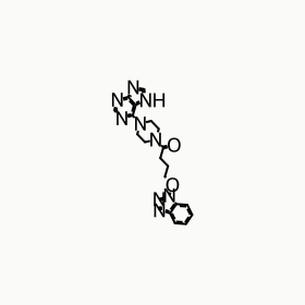 O=C(CCCOn1nnc2ccccc21)N1CCN(c2ncnc3nc[nH]c23)CC1